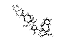 COc1cc(N2CCN(CC#N)CC2)ncc1Nc1ncc(F)c(Nc2cc3ccccc3nc2C(N)=O)n1